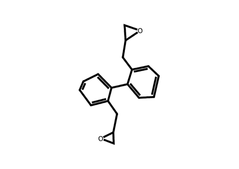 c1ccc(-c2ccccc2CC2CO2)c(CC2CO2)c1